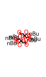 CCCCOC(=O)CC(CC(=O)OCCCC)(OOC(CC(=O)OCCCC)(CC(=O)OCCCC)C(=O)OCCCC)C(=O)OCCCC